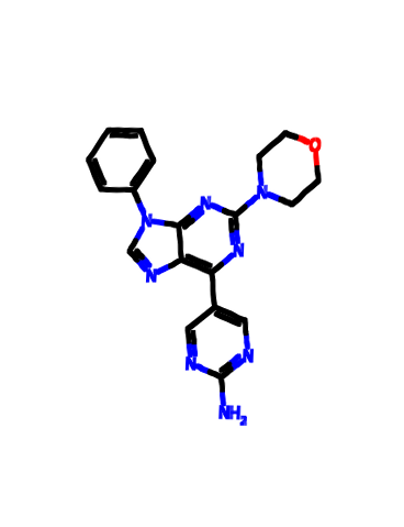 Nc1ncc(-c2nc(N3CCOCC3)nc3c2ncn3-c2ccccc2)cn1